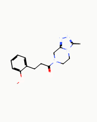 CCOc1ccccc1CCC(=O)N1CCn2c(CC)nnc2C1